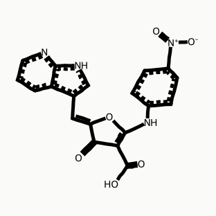 O=C(O)C1=C(Nc2ccc([N+](=O)[O-])cc2)OC(=Cc2c[nH]c3ncccc23)C1=O